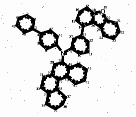 c1ccc(-c2ccc(N(c3cccc(-c4cccc5oc6ccccc6c45)c3)c3cc4ccc5ccccc5c4c4ccccc34)cc2)cc1